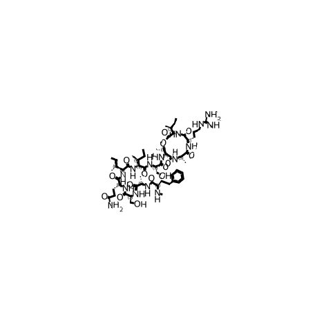 CC[C@@H](C)[C@@H](NC(=O)[C@@H](CCC(N)=O)NC(=O)[C@H](CO)NC(=O)[C@H](C)NC(=O)[C@@H](CCc1ccccc1)NC)C(=O)N[C@H](C(=O)N[C@@H](CO)C(=O)N[C@H]1C(=O)N[C@@H](C)C(=O)N[C@@H](CCCNC(=N)N)C(=O)N[C@@H]([C@@H](C)CC)C(=O)O[C@H]1C)[C@@H](C)CC